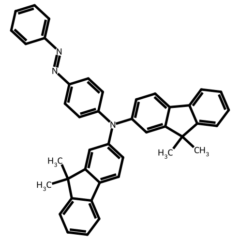 CC1(C)c2ccccc2-c2ccc(N(c3ccc(N=Nc4ccccc4)cc3)c3ccc4c(c3)C(C)(C)c3ccccc3-4)cc21